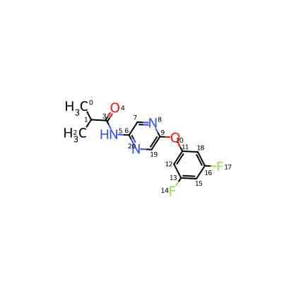 CC(C)C(=O)Nc1cnc(Oc2cc(F)cc(F)c2)cn1